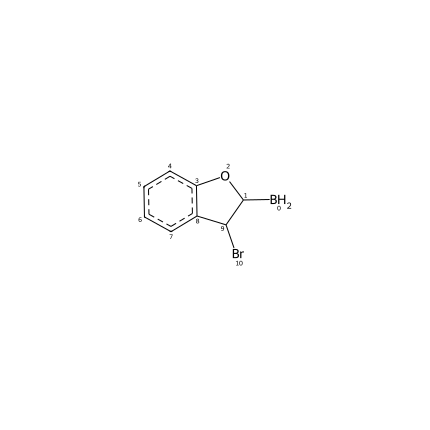 BC1Oc2ccccc2C1Br